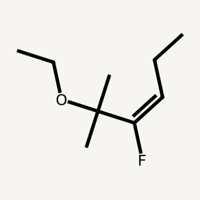 CC/C=C(/F)C(C)(C)OCC